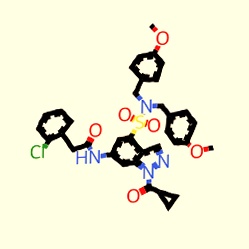 COc1ccc(CN(Cc2ccc(OC)cc2)S(=O)(=O)c2cc(NC(=O)Cc3ccccc3Cl)cc3c2cnn3C(=O)C2CC2)cc1